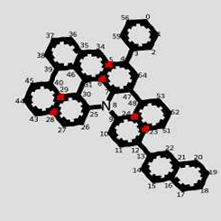 c1ccc(-c2ccc(N(c3ccc(-c4ccc5ccccc5c4)cc3)c3ccccc3-c3cccc4cccc(-c5ccccc5)c34)c(-c3ccccc3)c2)cc1